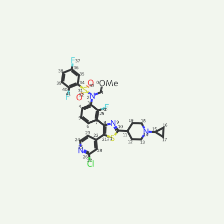 COCN(c1cccc(-c2nc(C3CCN(C4CC4)CC3)sc2-c2ccnc(Cl)c2)c1F)S(=O)(=O)c1cc(F)ccc1F